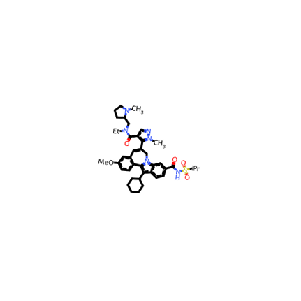 CCN(CC1CCCN1C)C(=O)c1cnn(C)c1C1=Cc2cc(OC)ccc2-c2c(C3CCCCC3)c3ccc(C(=O)NS(=O)(=O)C(C)C)cc3n2C1